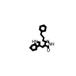 O=C1NN=C(CCCc2ccccc2)C1=Cc1c[nH]c2ccccc12